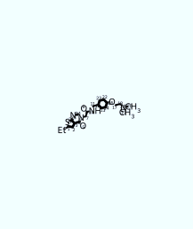 CCc1cc2c(=O)n(CC(=O)NCc3ccc(OCCN(C)C)cc3)cnc2s1